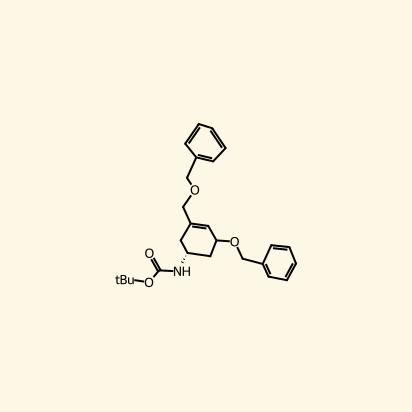 CC(C)(C)OC(=O)N[C@@H]1CC(COCc2ccccc2)=CC(OCc2ccccc2)C1